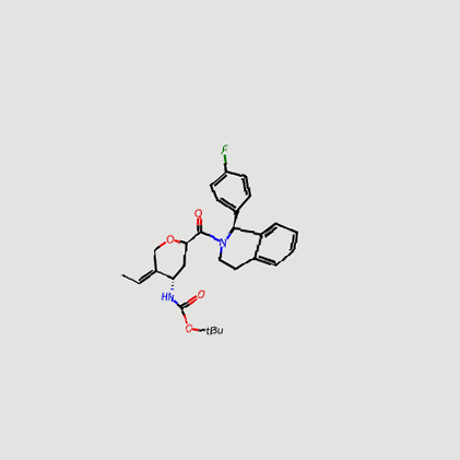 CC=C1CO[C@@H](C(=O)N2CCc3ccccc3[C@@H]2c2ccc(F)cc2)C[C@@H]1NC(=O)OC(C)(C)C